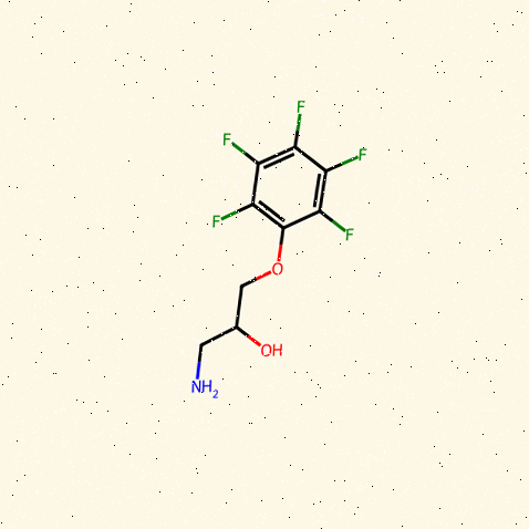 NCC(O)COc1c(F)c(F)c(F)c(F)c1F